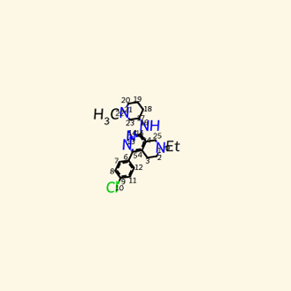 CCN1CCc2c(-c3ccc(Cl)cc3)nnc(NC3CCCN(C)C3)c2C1